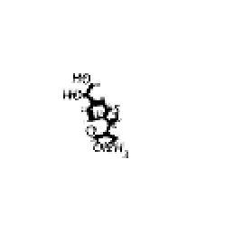 CCC(C(=O)O)c1csc2cc(C(O)CO)ccc12